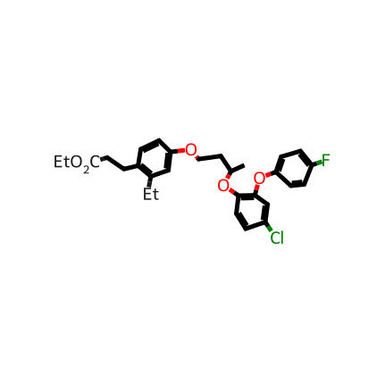 CCOC(=O)CCc1ccc(OCCC(C)Oc2ccc(Cl)cc2Oc2ccc(F)cc2)cc1CC